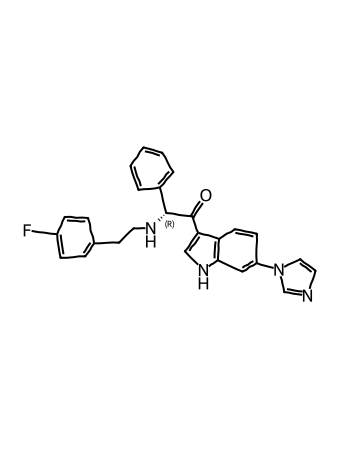 O=C(c1c[nH]c2cc(-n3ccnc3)ccc12)[C@H](NCCc1ccc(F)cc1)c1ccccc1